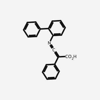 O=C(O)C(=C=Nc1ccccc1-c1ccccc1)c1ccccc1